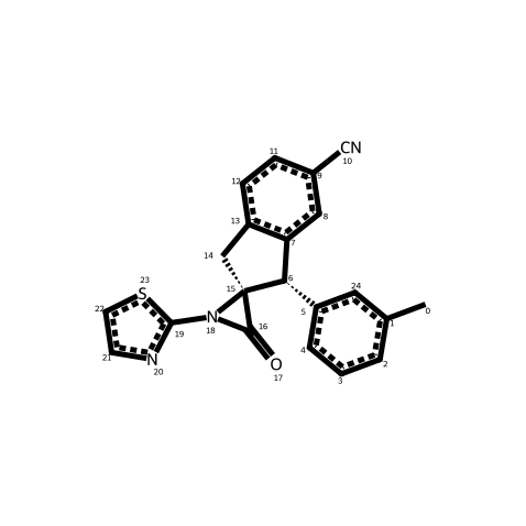 Cc1cccc([C@H]2c3cc(C#N)ccc3C[C@@]23C(=O)N3c2nccs2)c1